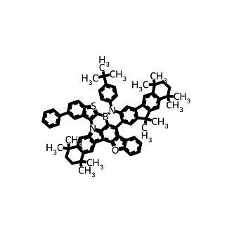 CC(C)(C)c1ccc(N2B3c4sc5ccc(-c6ccccc6)cc5c4-n4c5cc6c(cc5c5c7oc8ccccc8c7c(c3c54)-c3cc4c(cc32)-c2cc3c(cc2C4(C)C)C(C)(C)CCC3(C)C)C(C)(C)CCC6(C)C)cc1